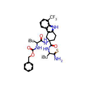 CCC(C)C(NC(=O)OCc1ccccc1)C(=O)N[C@]1(C(=O)NC(C(N)=S)C(C)CC)CCc2[nH]c3c(C(F)(F)F)cccc3c2C1